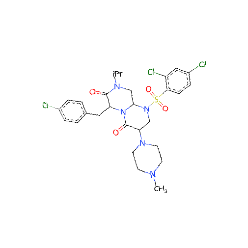 CC(C)N1CC2N(C(=O)C(N3CCN(C)CC3)CN2S(=O)(=O)c2ccc(Cl)cc2Cl)C(Cc2ccc(Cl)cc2)C1=O